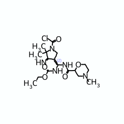 CCOC(=O)N/C(NC(=O)C1CN(C)CCO1)=C1/CN(C(=O)Cl)C(C)(C)C1=N